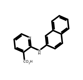 O=C(O)c1cccnc1Nc1ccc2ccccc2c1